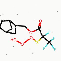 O=C(OCC1CC2CCC1C2)C(F)(SOOO)C(F)(F)F